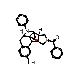 O=C(c1ccccc1)N1C[C@H]2C[C@@]34CCC1C2[C@@]31CCN(c2ccccc2)[C@@H]4Cc2ccc(O)cc21